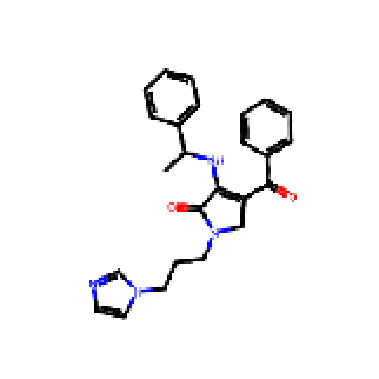 CC(NC1=C(C(=O)c2ccccc2)CN(CCCn2ccnc2)C1=O)c1ccccc1